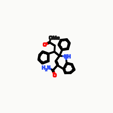 COC(=O)CC(c1ccccc1)C1(c2ccccc2)C=C(C(N)=O)c2ccccc2N1